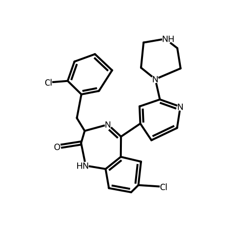 O=C1Nc2ccc(Cl)cc2C(c2ccnc(N3CCNCC3)c2)=NC1Cc1ccccc1Cl